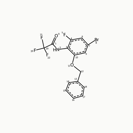 O=C(Nc1c(F)cc(Br)cc1OCc1ccccc1)C(F)(F)F